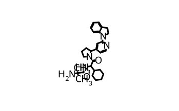 CC(C)(N)C(=O)NC(C(=O)N1CCCC1c1ccnc(N2CCc3ccccc32)c1)C1CCCCC1